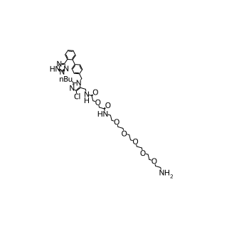 CCCCc1nc(Cl)c(CNC(=O)COCC(=O)NCCOCCOCCOCCOCCOCCN)n1Cc1ccc(-c2ccccc2-c2nn[nH]n2)cc1